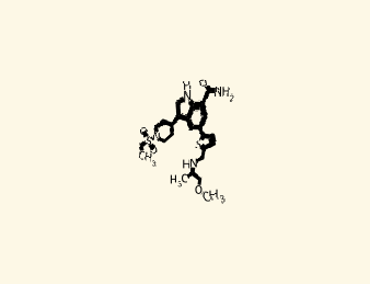 CCS(=O)(=O)N1CCC(C2CNc3c(C(N)=O)cc(-c4ccc(CNC(C)COC)s4)cc32)CC1